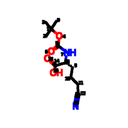 CC(C)(C)OC(=O)N[C@H](CCCC#N)C(=O)O